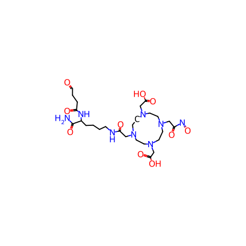 NC(=O)C(CCCCNC(=O)CN1CCN(CC(=O)O)CCN(CC(=O)N=O)CCN(CC(=O)O)CC1)NC(=O)CCC=O